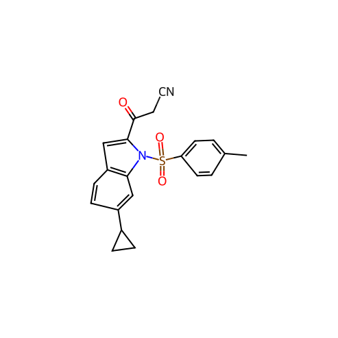 Cc1ccc(S(=O)(=O)n2c(C(=O)CC#N)cc3ccc(C4CC4)cc32)cc1